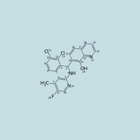 Cc1cc(NC(c2cccc(Cl)c2Cl)c2ccc3cccnc3c2O)ncc1F